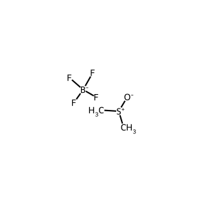 C[S+](C)[O-].F[B-](F)(F)F